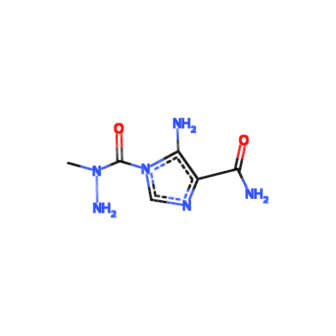 CN(N)C(=O)n1cnc(C(N)=O)c1N